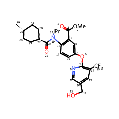 COC(=O)c1cc(Oc2ncc(CO)cc2C(F)(F)F)ccc1N(C(=O)[C@H]1CC[C@H](C)CC1)C(C)C